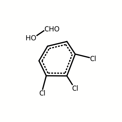 Clc1cccc(Cl)c1Cl.O=CO